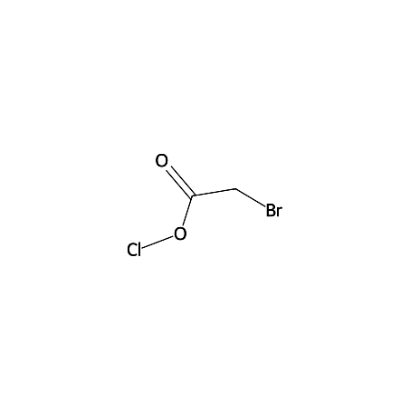 O=C(CBr)OCl